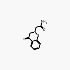 NC(=O)CN1CC(=O)c2ccccc2S1